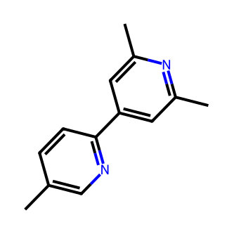 Cc1ccc(-c2cc(C)nc(C)c2)nc1